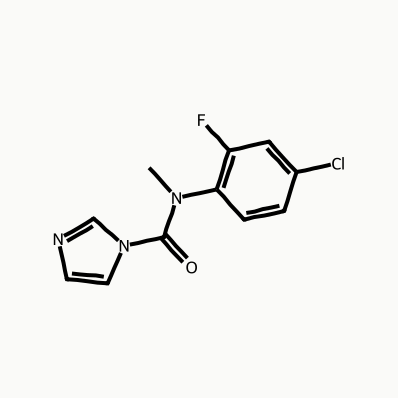 CN(C(=O)n1ccnc1)c1ccc(Cl)cc1F